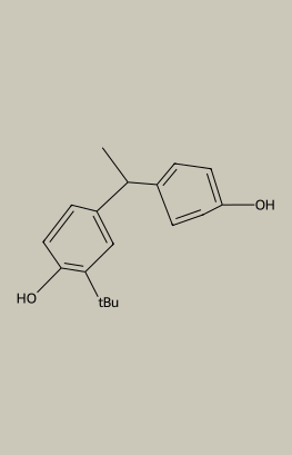 CC(c1ccc(O)cc1)c1ccc(O)c(C(C)(C)C)c1